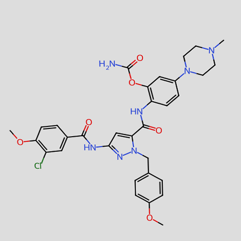 COc1ccc(Cn2nc(NC(=O)c3ccc(OC)c(Cl)c3)cc2C(=O)Nc2ccc(N3CCN(C)CC3)cc2OC(N)=O)cc1